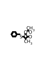 CC(=O)ON1C(=O)C(C)C1SCc1ccccc1